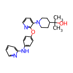 CC(C)(O)C1CCN(c2cccnc2Oc2ccc(Nc3ccccn3)cc2)CC1